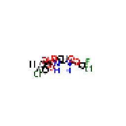 C=C(CCNC(=O)COc1ccc(Cl)c(F)c1)NC(=O)[C@H]1C[C@](C)(O)c2cc(Cl)ccc2O1